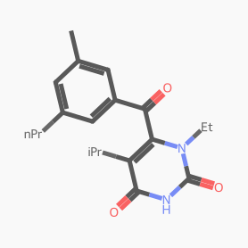 CCCc1cc(C)cc(C(=O)c2c(C(C)C)c(=O)[nH]c(=O)n2CC)c1